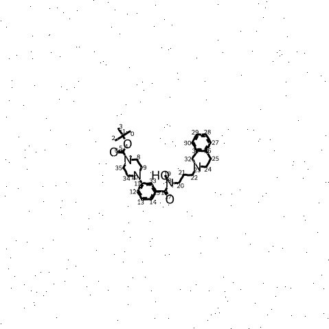 CC(C)(C)OC(=O)N1CCN(c2cccc(C(=O)N(O)CCCN3CCc4ccccc4C3)c2)CC1